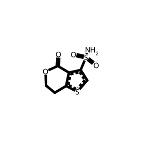 NS(=O)(=O)c1csc2c1C(=O)OCC2